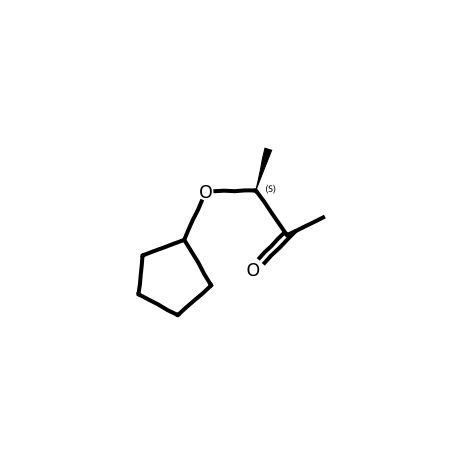 CC(=O)[C@H](C)OC1CCCC1